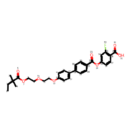 CCC(C)(C)C(=O)OCCOCCOc1ccc(-c2ccc(C(=O)Oc3ccc(C(=O)O)c(F)c3)cc2)cc1